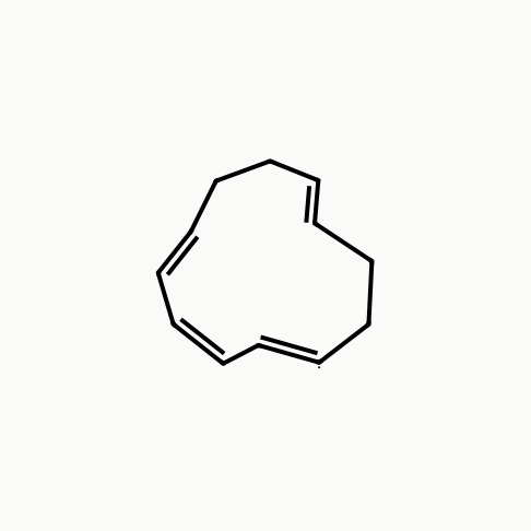 [C]1=C/C=C\C=C\CC/C=C/CC/1